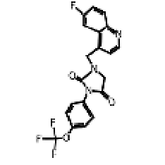 O=C1CN(Cc2ccnc3ccc(F)cc23)C(=O)N1c1ccc(OC(F)(F)F)cc1